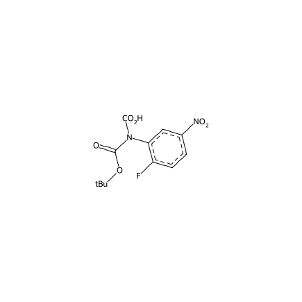 CC(C)(C)OC(=O)N(C(=O)O)c1cc([N+](=O)[O-])ccc1F